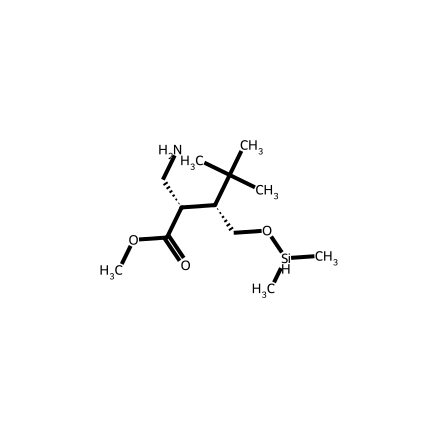 COC(=O)[C@H](CN)[C@@H](CO[SiH](C)C)C(C)(C)C